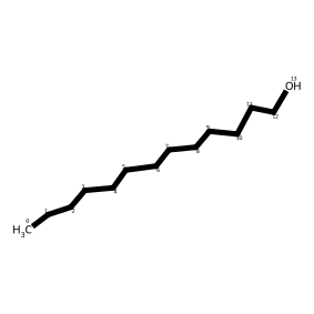 CCCCCCCCC[CH]CCCO